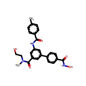 Cc1ccc(C(=O)Nc2cc(C(=O)N(C)CCO)cc(-c3ccc(C(=O)NO)cc3)c2)cc1